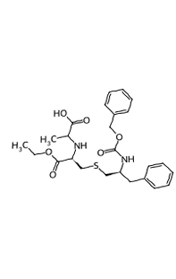 CCOC(=O)[C@H](CSC[C@H](Cc1ccccc1)NC(=O)OCc1ccccc1)NC(C)C(=O)O